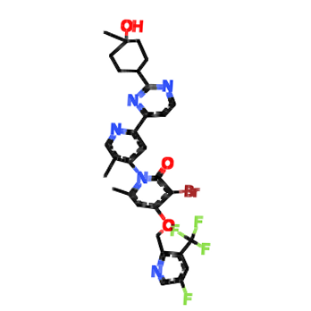 Cc1cnc(-c2ccnc(C3CCC(C)(O)CC3)n2)cc1-n1c(C)cc(OCc2ncc(F)cc2C(F)(F)F)c(Br)c1=O